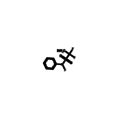 CCOC(=O)C(F)(F)S(=O)(=O)N(F)c1ccccc1